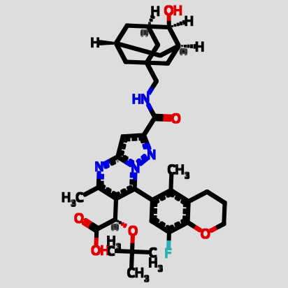 Cc1nc2cc(C(=O)NCC34C[C@H]5C[C@H](C[C@H](C3)[C@@H]5O)C4)nn2c(-c2cc(F)c3c(c2C)CCCO3)c1[C@H](OC(C)(C)C)C(=O)O